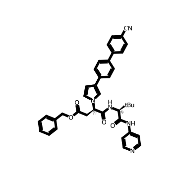 CC(C)(C)[C@H](NC(=O)[C@@H](CC(=O)OCc1ccccc1)n1ccc(-c2ccc(-c3ccc(C#N)cc3)cc2)c1)C(=O)Nc1ccncc1